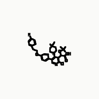 CC1(C)CCN(c2c(-c3ccc(OCCc4ccc(F)cc4)cc3)cnc(Cl)c2C(OC(C)(C)C)C(=O)O)CC1